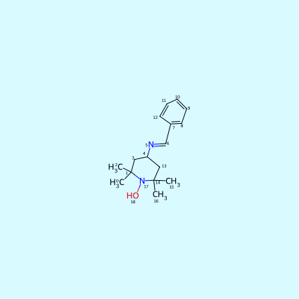 CC1(C)CC(/N=C/c2ccccc2)CC(C)(C)N1O